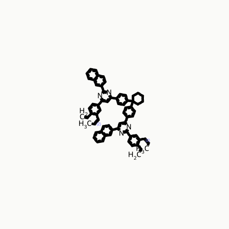 C=Cc1ccc(-c2cc(-c3ccc(C4(c5ccc(-c6cc(-c7ccc8ccccc8c7)nc(-c7ccc(C=C)c(/C=C\C)c7)n6)cc5)CCCCC4)cc3)nc(-c3ccc4ccccc4c3)n2)cc1/C=C\C